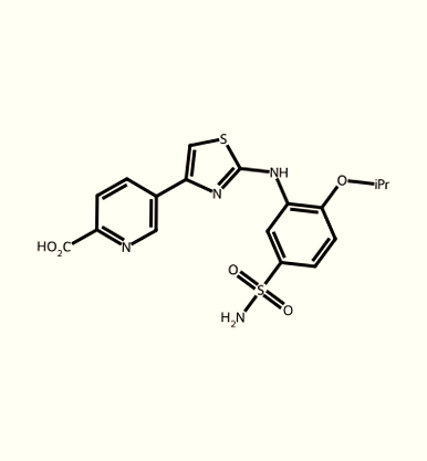 CC(C)Oc1ccc(S(N)(=O)=O)cc1Nc1nc(-c2ccc(C(=O)O)nc2)cs1